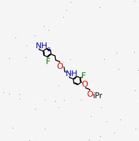 CC(C)OCCOc1ccc(CNCCOCCCc2ccc(CN)cc2F)cc1F